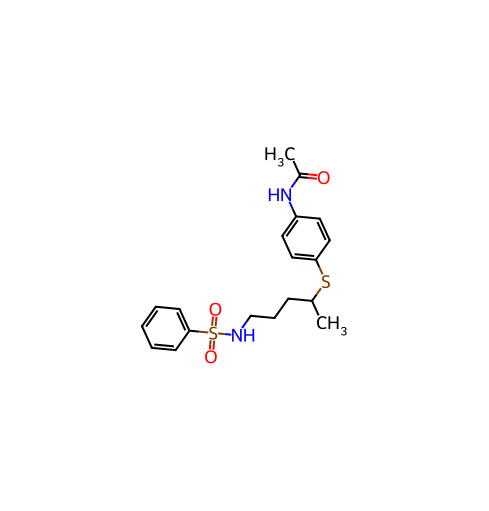 CC(=O)Nc1ccc(SC(C)CCCNS(=O)(=O)c2ccccc2)cc1